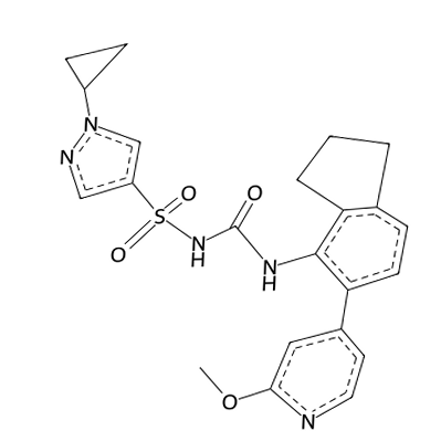 COc1cc(-c2ccc3c(c2NC(=O)NS(=O)(=O)c2cnn(C4CC4)c2)CCC3)ccn1